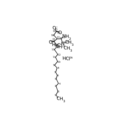 CCCCCCCCCCCCCCNC(=O)C(CC(=O)[O-])C(N)[N+](C)(C)C.Cl